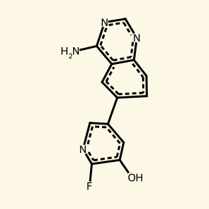 Nc1ncnc2ccc(-c3cnc(F)c(O)c3)cc12